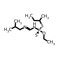 CCOP(=S)(NC=NCC(C)C)SC(C)CC